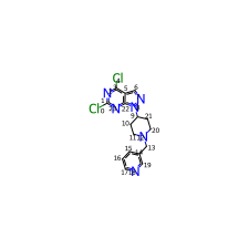 Clc1nc(Cl)c2cnn(C3CCN(Cc4cccnc4)CC3)c2n1